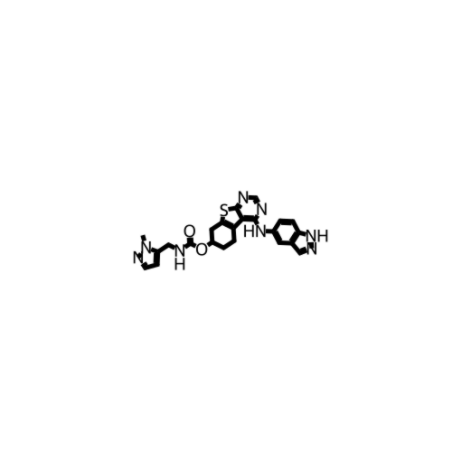 Cn1nccc1CNC(=O)OC1CCc2c(sc3ncnc(Nc4ccc5[nH]ncc5c4)c23)C1